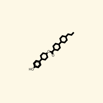 CCCC1CCC(C2CCC(C(=O)OC3CCC(c4ccc(O)cc4)CC3)CC2)CC1